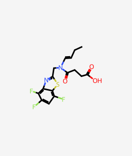 CCC=CN(Cc1nc2c(F)c(F)cc(F)c2s1)C(=O)CCC(=O)O